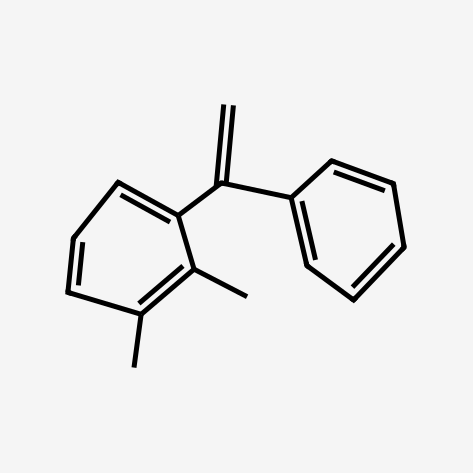 C=C(c1ccccc1)c1cccc(C)c1C